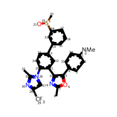 CNc1ccc(-c2oc(C)nc2-c2cc(-c3cccc([S+](C)[O-])c3)ccc2-n2cc(C(F)(F)F)nc2C)cc1